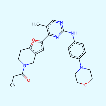 Cc1cnc(Nc2ccc(N3CCOCC3)cc2)nc1-c1cc2c(o1)CCN(C(=O)CC#N)C2